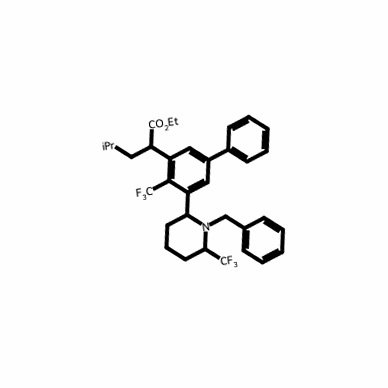 CCOC(=O)C(CC(C)C)c1cc(-c2ccccc2)cc(C2CCCC(C(F)(F)F)N2Cc2ccccc2)c1C(F)(F)F